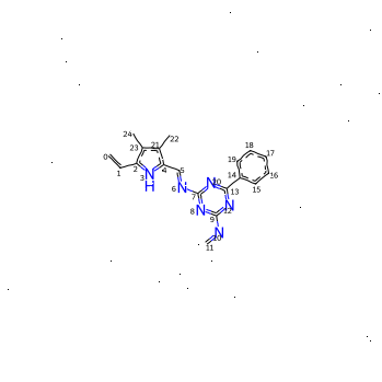 C=Cc1[nH]c(C=Nc2nc(N=C)nc(-c3ccccc3)n2)c(C)c1C